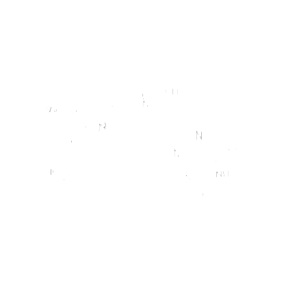 Cc1cc2nc3c(=O)[nH]c(=O)nc-3n(CCCCCCC(=O)O)c2cc1N[C@@H]1CCN(C(=O)OC(C)(C)C)C1